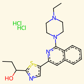 CCC(O)c1ncc(-c2cc3ccccc3c(N3CCN(CC)CC3)n2)s1.Cl.Cl